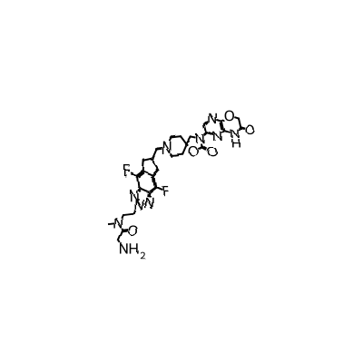 CN(CCn1nc2c(F)c3c(c(F)c2n1)CC(CN1CCC2(CC1)CN(c1cnc4c(n1)NC(=O)CO4)C(=O)O2)C3)C(=O)CN